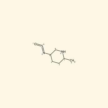 CC1CCC(N=S=O)CN1